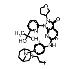 CC(C)(O)c1cccc(-n2c3nc(Nc4ccc(N5CC6CCC5CN(CCF)C6)cc4)ncc3c(=O)n2C2CCOC2)n1